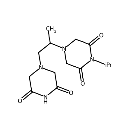 CC(CN1CC(=O)NC(=O)C1)N1CC(=O)N(C(C)C)C(=O)C1